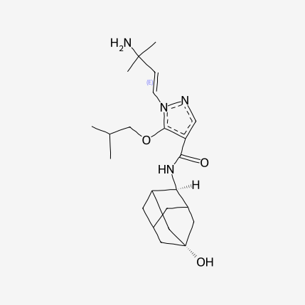 CC(C)COc1c(C(=O)N[C@H]2C3CC4CC2C[C@](O)(C4)C3)cnn1/C=C/C(C)(C)N